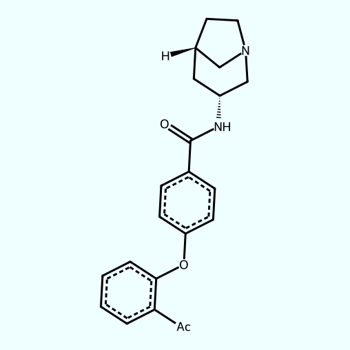 CC(=O)c1ccccc1Oc1ccc(C(=O)N[C@@H]2C[C@@H]3CCN(C3)C2)cc1